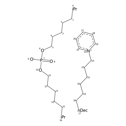 CC(C)CCCCCOP(=O)([O-])OCCCCCC(C)C.CCCCCCCCCCCCCCCC[n+]1ccccc1